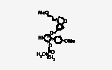 COCCCN1CCOc2ccc(CO[C@H]3CNC[C@@H](OCC(=O)N(C)C)[C@@H]3c3ccc(OC)cc3)cc21